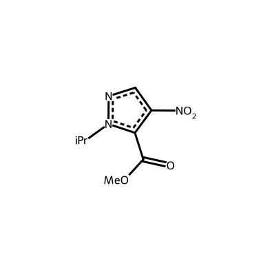 COC(=O)c1c([N+](=O)[O-])cnn1C(C)C